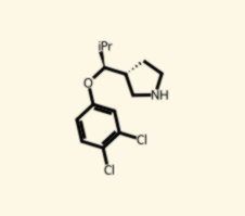 CC(C)[C@H](Oc1ccc(Cl)c(Cl)c1)[C@@H]1CCNC1